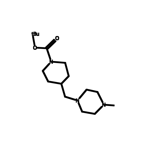 CN1CCN(CC2CCN(C(=O)OC(C)(C)C)CC2)CC1